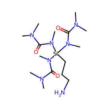 CN(C)C(=O)N(C)[Si](CCCN)(N(C)C(=O)N(C)C)N(C)C(=O)N(C)C